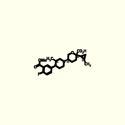 COC(=O)c1cc(N2CCN([C@@H]3CC[C@@](C(=O)O)(C4C[C@H]4C)OC3)C[C@@H]2C)ccc1F